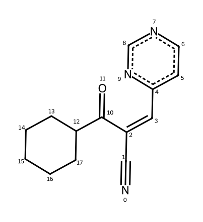 N#CC(=Cc1ccncn1)C(=O)C1CCCCC1